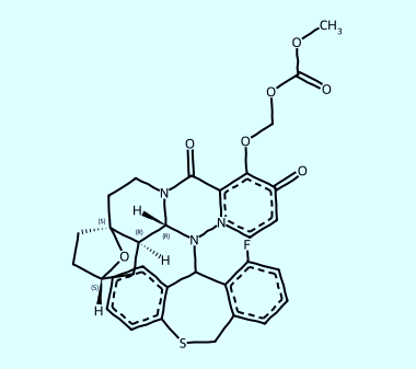 COC(=O)OCOc1c2n(ccc1=O)N(C1c3ccccc3SCc3cccc(F)c31)[C@@H]1[C@H]3C[C@@H]4CC[C@@]3(CCN1C2=O)O4